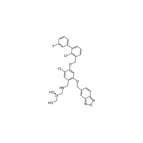 OC[C@@H](O)CNCc1cc(Cl)c(OCc2cccc(-c3cccc(F)c3)c2Cl)cc1OCc1ccc2nonc2c1